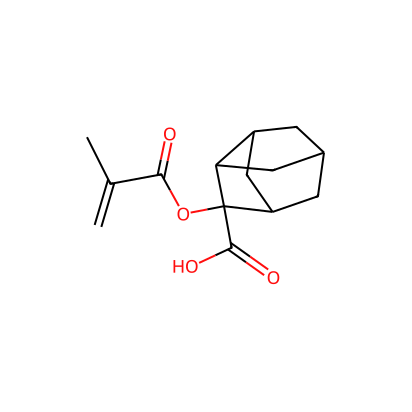 C=C(C)C(=O)OC1(C(=O)O)C2CC3CC(C2)C1C3